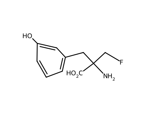 NC(CF)(Cc1cccc(O)c1)C(=O)O